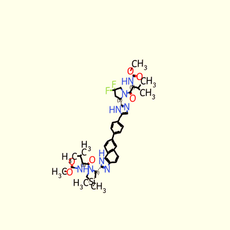 COC(=O)N[C@H](C(=O)N1CC(F)(F)C[C@H]1c1ncc(-c2ccc(-c3ccc4c(ccc5nc([C@@H]6C[Si](C)(C)CN6C(=O)[C@@H](NC(=O)OC)C(C)C)[nH]c54)c3)cc2)[nH]1)C(C)C